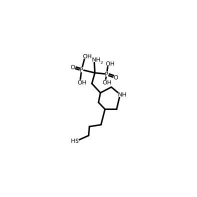 NC(CC1CNCC(CCCS)C1)(P(=O)(O)O)P(=O)(O)O